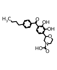 CCCCc1ccc(C(=O)c2ccc(C3CN(C(=O)O)CCO3)c(O)c2O)cc1